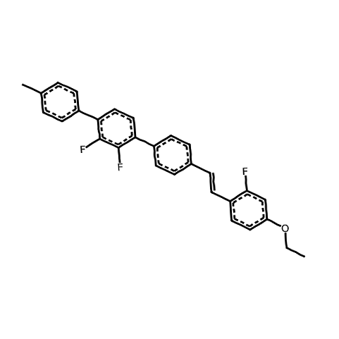 CCOc1ccc(/C=C/c2ccc(-c3ccc(-c4ccc(C)cc4)c(F)c3F)cc2)c(F)c1